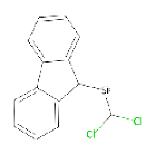 ClC(Cl)[Si]C1c2ccccc2-c2ccccc21